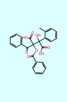 Cc1ccccc1C(O)(C(=O)O)C(OC(=O)c1ccccc1)(C(=O)O)C(=O)c1ccccc1